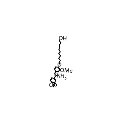 COc1cc(/C=C(\N)c2ccc3c(c2)OCO3)ccc1OCCCCCCCCCCCO